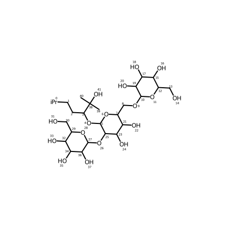 CC(C)CCC(OC1OC(COC2OC(CO)C(O)C(O)C2O)C(O)C(O)C1OC1OC(CO)C(O)C(O)C1O)C(C)(C)O